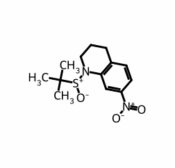 CC(C)(C)[S+]([O-])N1CCCc2ccc([N+](=O)[O-])cc21